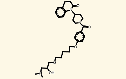 CN(C)CC(O)COCCCCCOc1ccc(C(=O)N2CCC(N3C(=O)CCc4ccccc43)CC2)cc1